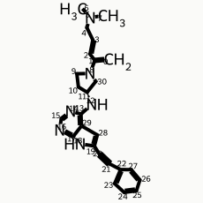 C=C(/C=C/CN(C)C)N1CC[C@@H](Nc2ncnc3[nH]c(C#Cc4ccccc4)cc23)C1